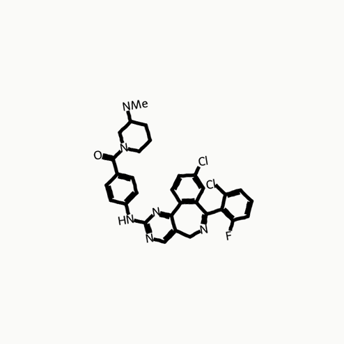 CNC1CCCN(C(=O)c2ccc(Nc3ncc4c(n3)-c3ccc(Cl)cc3C(c3c(F)cccc3Cl)=NC4)cc2)C1